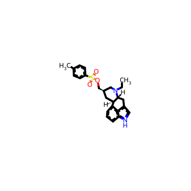 CCN1C[C@H](COS(=O)(=O)c2ccc(C)cc2)C[C@@H]2c3cccc4[nH]cc(c34)C[C@H]21